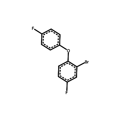 Fc1ccc(Oc2ccc(F)cc2Br)cc1